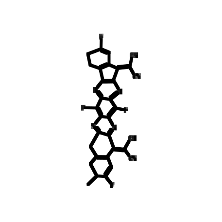 CC1CC2=C(C=C1F)C(=C(C#N)C#N)c1nc3c(F)c4nc5c(nc4c(F)c3nc1C2)C1=C(C=C(F)CC1)C5=C(C#N)C#N